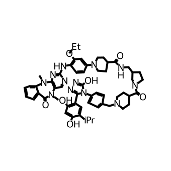 CCOc1cc(N2CCC(C(=O)NCC3CCN(C(=O)C4CCN(Cc5ccc(-n6c(O)nnc6-c6cc(C(C)C)c(O)cc6O)cc5)CC4)C3)CC2)ccc1Nc1ncc2c(n1)N(C)c1ccccc1C(=O)N2C